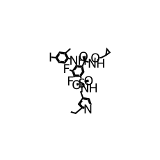 CCc1cc(CNS(=O)(=O)c2cc(C(=O)NOCC3CC3)c(Nc3ccc(I)cc3C)c(F)c2F)ccn1